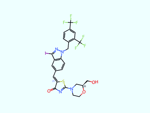 O=C1N=C(N2CCO[C@H](CO)C2)S/C1=C\c1ccc2c(c1)c(I)nn2Cc1ccc(C(F)(F)F)cc1C(F)(F)F